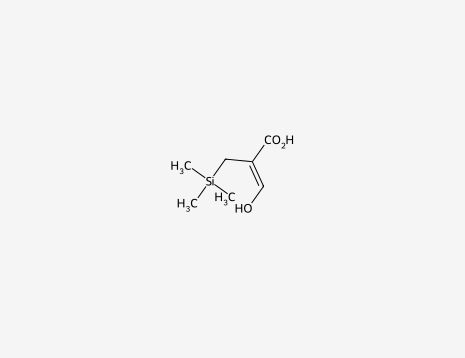 C[Si](C)(C)CC(=CO)C(=O)O